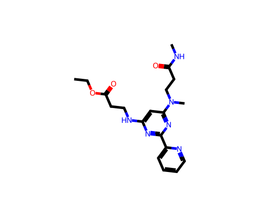 CCOC(=O)CCNc1cc(N(C)CCC(=O)NC)nc(-c2ccccn2)n1